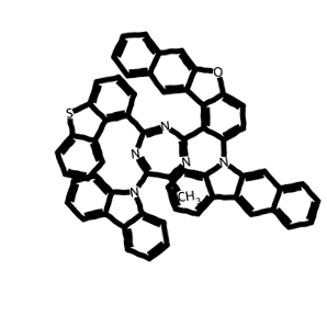 CC1N=C(c2c(-n3c4ccccc4c4cc5ccccc5cc43)ccc3oc4cc5ccccc5cc4c23)N=C(c2cccc3sc4ccccc4c23)N=C1n1c2ccccc2c2ccccc21